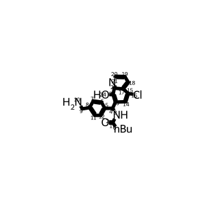 CCCCC(=O)NC(c1ccc(CN)cc1)c1cc(Cl)c2cccnc2c1O